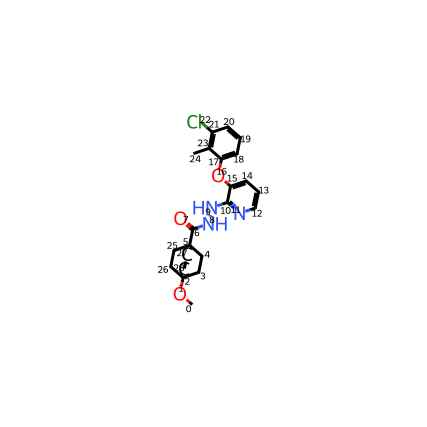 COC12CCC(C(=O)NNc3ncccc3Oc3cccc(Cl)c3C)(CC1)CC2